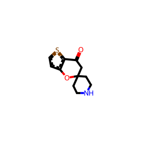 O=C1CC2(CCNCC2)Oc2ccsc21